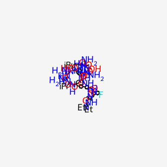 CCC(C)CCCCC(=O)NC(CCN)C(=O)NC(C(=O)N[C@H](CCN)C(=O)NC1CCNC(=O)[C@@H]([C@@H](C)O)NC(=O)[C@@H](CCN)NC(=O)[C@@H](CCN)NC(=O)[C@@H](CC(C)C)NC(=O)[C@@H](Cc2ccc(-c3ccc(COC(=O)N4C(=O)/C(=C\c5[nH]c(C)c(C(=O)NCCN(CC)CC)c5C)c5cc(F)ccc54)cc3)cc2)CC(=O)C(CCN)NC1=O)[C@H](C)O